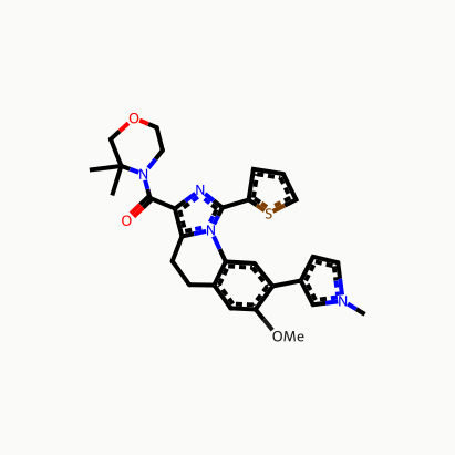 COc1cc2c(cc1-c1ccn(C)c1)-n1c(-c3cccs3)nc(C(=O)N3CCOCC3(C)C)c1CC2